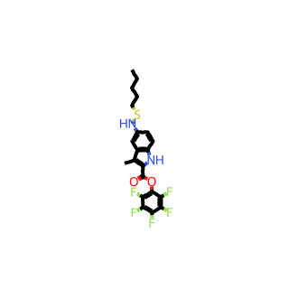 CCCCCSNc1ccc2[nH]c(C(=O)Oc3c(F)c(F)c(F)c(F)c3F)c(C)c2c1